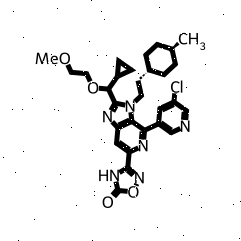 COCCOC(c1nc2cc(-c3noc(=O)[nH]3)nc(-c3cncc(Cl)c3)c2n1CC[C@H]1CC[C@H](C)CC1)C1CC1